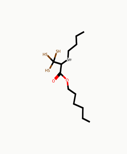 CCCCCCOC(=O)[CH]([Sn][CH2]CCC)C(S)(S)S